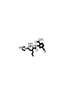 CCCC1CC(N2CCNC2)NNC1C(=O)Nc1cc(C#N)ccc1C(=O)O